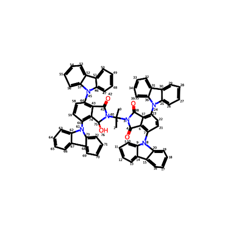 CC(C)(N1C(=O)c2c(-n3c4ccccc4c4ccccc43)ccc(-n3c4ccccc4c4ccccc43)c2C1=O)N1C(=O)c2c(-n3c4ccccc4c4ccccc43)ccc(-n3c4ccccc4c4ccccc43)c2C1O